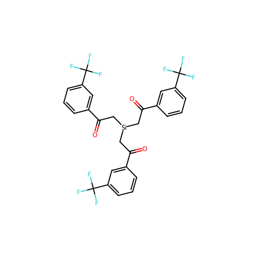 O=C(C[Si](CC(=O)c1cccc(C(F)(F)F)c1)CC(=O)c1cccc(C(F)(F)F)c1)c1cccc(C(F)(F)F)c1